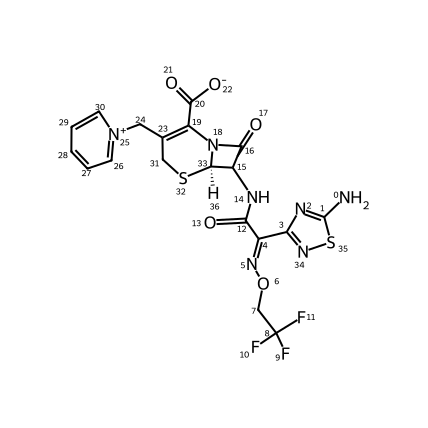 Nc1nc(/C(=N\OCC(F)(F)F)C(=O)NC2C(=O)N3C(C(=O)[O-])=C(C[n+]4ccccc4)CS[C@H]23)ns1